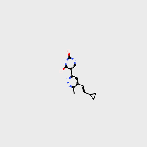 Cc1nnc(-c2c[nH]c(=O)[nH]c2=O)cc1/C=C/C1CC1